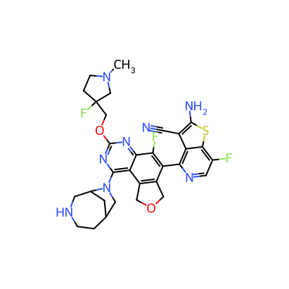 CN1CCC(F)(COc2nc(N3CC4CCNCC3C4)c3c4c(c(-c5ncc(F)c6sc(N)c(C#N)c56)c(F)c3n2)COC4)C1